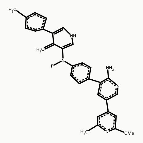 C=C1C(c2ccc(C)cc2)=CNC=C1N(F)c1ccc(-c2cc(-c3cc(C)nc(OC)c3)cnc2N)cc1